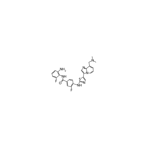 CN(C)Cc1cccn2c(-c3cnc(Nc4ccc(C(=O)Nc5c(N)cccc5F)cc4F)s3)cnc12